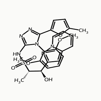 COc1cccc(OC)c1-n1c(NS(=O)(=O)[C@@H](C)[C@H](O)c2cc3ccccn3n2)nnc1-c1ccc(C)o1